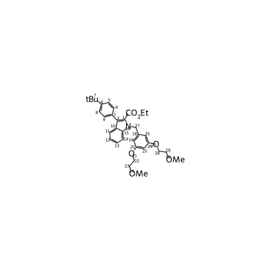 CCOC(=O)c1c(-c2ccc(C(C)(C)C)cc2)c2ccccc2n1Cc1cc(OCCOC)cc(OCCOC)c1